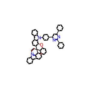 c1ccc(-c2cc(-c3ccc(-n4c5ccccc5c5ccc6c(c54)Oc4ccccc4C64c5ccccc5-n5c6ccccc6c6cccc4c65)cc3)nc(-c3ccccc3)n2)cc1